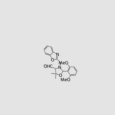 COc1cccc(OC)c1C1OC(C)(C)C(C=O)N1Cc1nc2ccccc2o1